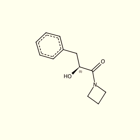 O=C([C@@H](O)Cc1ccccc1)N1CCC1